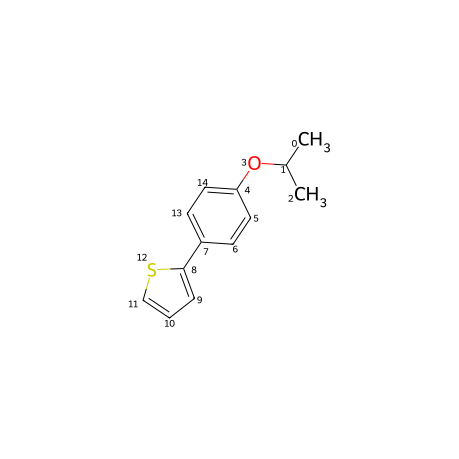 CC(C)Oc1ccc(-c2cccs2)cc1